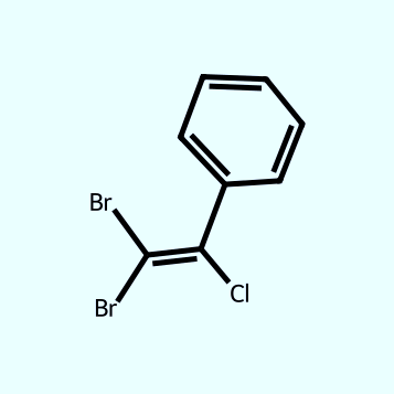 ClC(=C(Br)Br)c1ccccc1